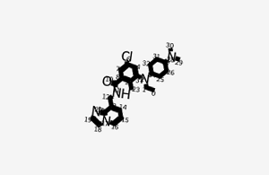 CCN(c1cc(Cl)cc(C(=O)NCc2cccn3ccnc23)c1C)C1CCC(N(C)C)CC1